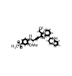 COc1cc(S(C)(=O)=O)ccc1NCC#Cc1nc2c([C@H]3CCn4nccc4N3)cccn2c1CC(F)(F)F